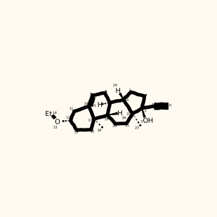 C#C[C@@]1(O)CC[C@H]2[C@@H]3CC=C4C[C@@H](OCC)CC[C@]4(C)[C@H]3CC[C@@]21C